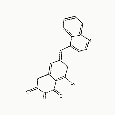 O=C1CC2=CC(=Cc3ccnc4ccccc34)CC(O)=C2C(=O)N1